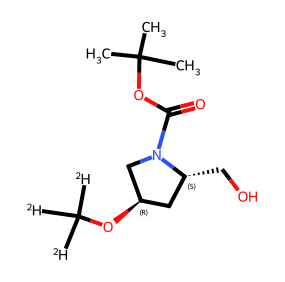 [2H]C([2H])([2H])O[C@@H]1C[C@@H](CO)N(C(=O)OC(C)(C)C)C1